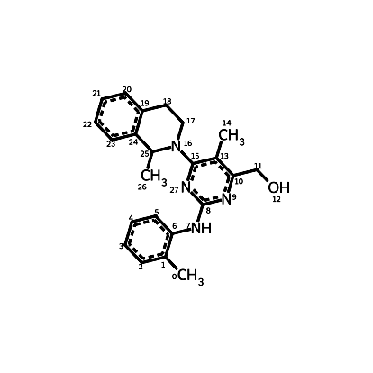 Cc1ccccc1Nc1nc(CO)c(C)c(N2CCc3ccccc3C2C)n1